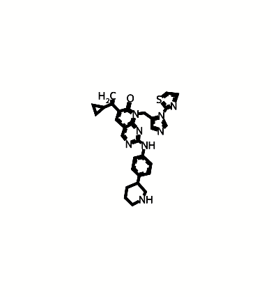 C=C(c1cc2cnc(Nc3ccc(C4CCCNC4)cc3)nc2n(Cc2cncn2-c2nccs2)c1=O)C1CC1